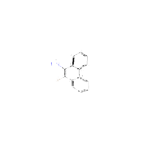 Nc1c(Br)c2ccccc2c2ccccc12